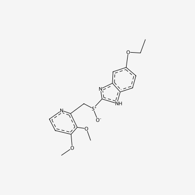 CCOc1ccc2[nH]c([S+]([O-])Cc3nccc(OC)c3OC)nc2c1